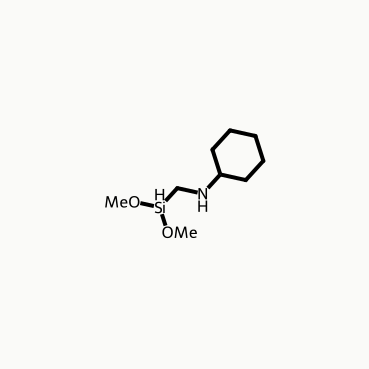 CO[SiH](CNC1CCCCC1)OC